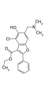 CCOC(=O)c1c(-c2ccccc2)oc2cc(CN(C)C)c(O)c(Cl)c12